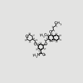 CCCCOc1c(C)c(COc2cc(OCC3CCOCC3)cc(C(N)=O)c2)nc2ccccc12